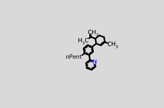 C=C(C)C1CCC(C)=CC1c1ccc(CCCCC)c(-c2ccccn2)c1